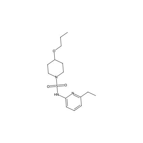 CCCOC1CCN(S(=O)(=O)Nc2cccc(CC)n2)CC1